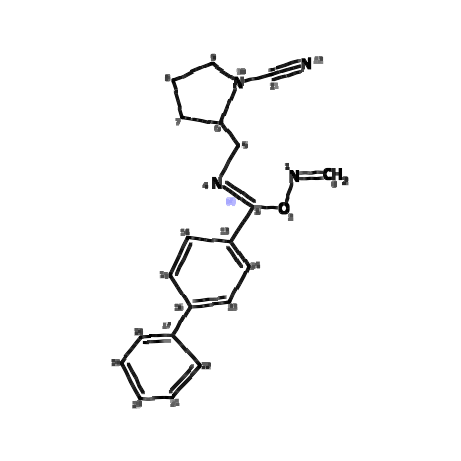 C=NO/C(=N\CC1CCCN1C#N)c1ccc(-c2ccccc2)cc1